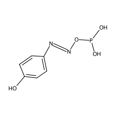 Oc1ccc(N=NOP(O)O)cc1